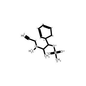 C#CCN(C)C(C)C(OS(C)(=O)=O)C1C=CC=CC1